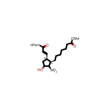 CCCCCC(=O)/C=C/[C@@H]1CC(O)C([N+](=O)[O-])[C@@H]1CCCCCCC(=O)OC